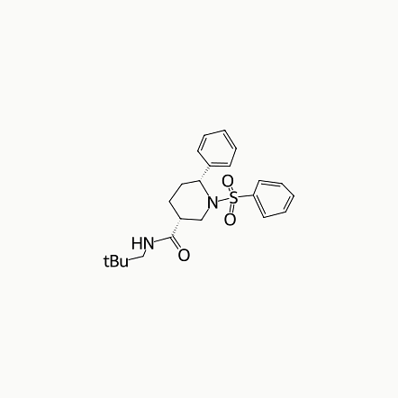 CC(C)(C)CNC(=O)[C@@H]1CC[C@H](c2ccccc2)N(S(=O)(=O)c2ccccc2)C1